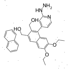 CCOc1cc2cc(CO)c(CO)c(-c3ccnc(NN)c3)c2cc1OCC.c1ccc2ccccc2c1